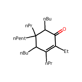 CCCCCC1(CCC)C(CCCC)C(=O)C(CC)=C(CCC)C1CCCC